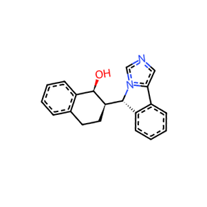 O[C@@H]1c2ccccc2CC[C@@H]1[C@H]1c2ccccc2-c2cncn21